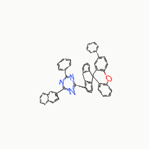 c1ccc(-c2ccc3c(c2)C2(c4ccccc4O3)c3ccccc3-c3c(-c4nc(-c5ccccc5)nc(-c5ccc6ccccc6c5)n4)cccc32)cc1